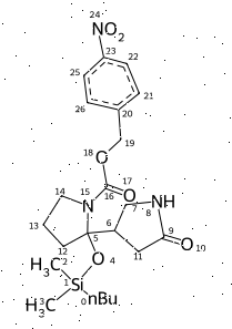 CCCC[Si](C)(C)OC1(C2CNC(=O)C2)CCCN1C(=O)OCc1ccc([N+](=O)[O-])cc1